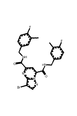 Cc1cc(CNC(=O)c2cc(C(=O)NCc3ccc(F)c(C)c3)n3ncc(Br)c3n2)ccc1F